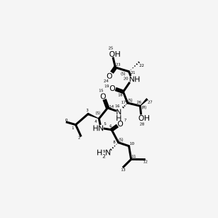 CC(C)C[C@H](NC(=O)[C@@H](N)CC(C)C)C(=O)N[C@H](C(=O)N[C@@H](C)C(=O)O)[C@@H](C)O